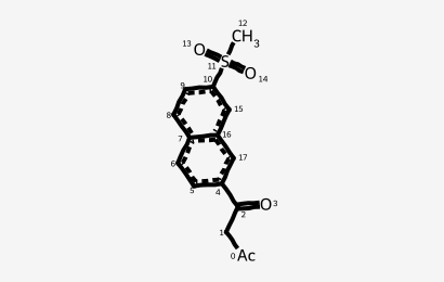 CC(=O)CC(=O)c1ccc2ccc(S(C)(=O)=O)cc2c1